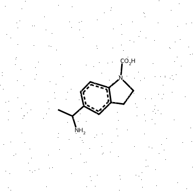 CC(N)c1ccc2c(c1)CCN2C(=O)O